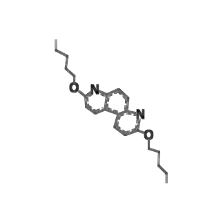 CCCCCOc1ccc2c(ccc3nc(OCCCCC)ccc32)n1